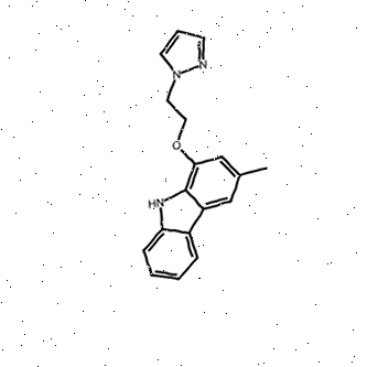 Cc1cc(OCCn2cccn2)c2[nH]c3ccccc3c2c1